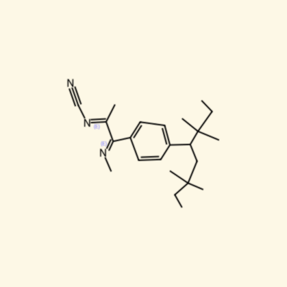 CCC(C)(C)CC(c1ccc(C(=N\C)/C(C)=N/C#N)cc1)C(C)(C)CC